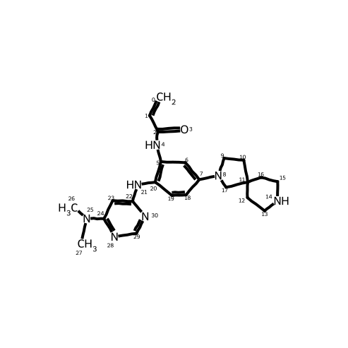 C=CC(=O)Nc1cc(N2CCC3(CCNCC3)C2)ccc1Nc1cc(N(C)C)ncn1